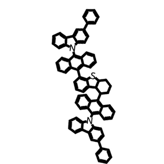 c1ccc(-c2ccc3c(c2)c2ccccc2n3-c2c3ccccc3c(-c3cccc4c3SC3CCCC(c5c6ccccc6c(-n6c7ccccc7c7cc(-c8ccccc8)ccc76)c6ccccc56)C43)c3ccccc23)cc1